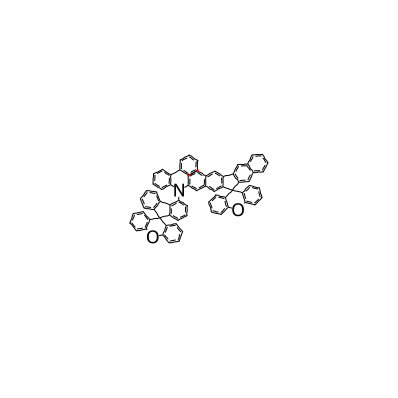 c1ccc(-c2ccccc2N(c2ccc3cc4c(cc3c2)C2(c3ccccc3Oc3ccccc32)c2cc3ccccc3cc2-4)c2cccc3c2-c2ccccc2C32c3ccccc3Oc3ccccc32)cc1